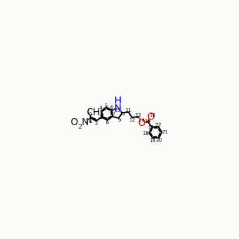 CC(=Cc1ccc2c(c1)CC(CCCOC(=O)c1ccccc1)N2)[N+](=O)[O-]